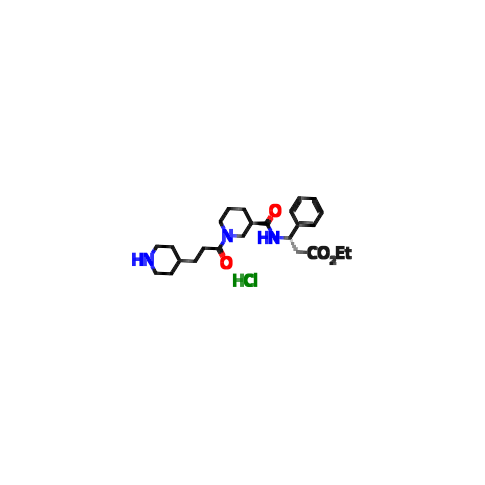 CCOC(=O)C[C@H](NC(=O)[C@@H]1CCCN(C(=O)CCC2CCNCC2)C1)c1ccccc1.Cl